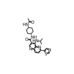 CC(=O)N[C@H]1CC[C@H](NC(=O)c2cnc3ccc(-c4cncs4)nc3c2NC(C)C)CC1